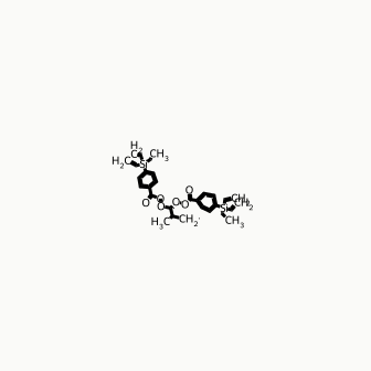 [CH2]C(C)[C](OOC(=O)c1ccc([Si](C=C)(C=C)CC)cc1)OOC(=O)c1ccc([Si](C=C)(C=C)CC)cc1